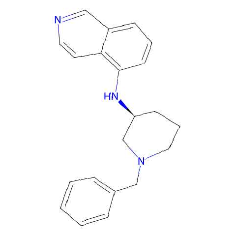 c1ccc(CN2CCC[C@H](Nc3cccc4cnccc34)C2)cc1